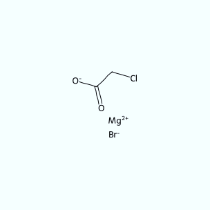 O=C([O-])CCl.[Br-].[Mg+2]